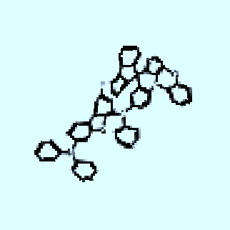 Fc1cc(N(c2ccccc2)c2ccc3c(c2)C2(c4ccccc4-c4ccccc42)c2cccc4c2N3c2ccccc2O4)c2sc3cc(N(c4ccccc4)c4ccccc4)ccc3c2c1